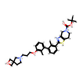 Cc1c(OCCCN2CCC3(COC3)C2)cccc1-c1cccc(-c2nc3c(s2)CCN(C(=O)OC(C)(C)C)C3)c1C